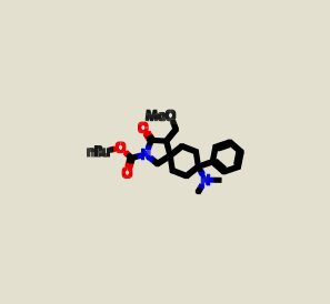 CCCCOC(=O)N1CC2(CCC(c3ccccc3)(N(C)C)CC2)C(COC)C1=O